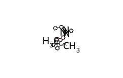 C\C=C/C=C1\C(=C2/C=c3ccc(-c4nc(-c5ccccc5)nc(-c5cccc(-c6ccccc6)c5)n4)cc3=CC2C)C2(c3ccccc31)c1ccccc1-c1ccccc12